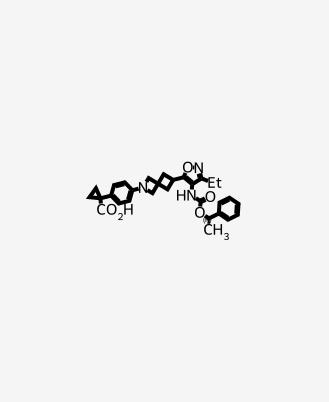 CCc1noc(C2CC3(C2)CN(c2ccc(C4(C(=O)O)CC4)cc2)C3)c1NC(=O)O[C@H](C)c1ccccc1